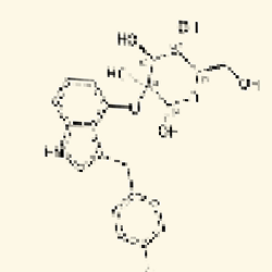 OC[C@H]1O[C@H](O)[C@@](O)(Oc2cccc3[nH]cc(Cc4ccc(Cl)cc4)c23)[C@@H](O)[C@@H]1O